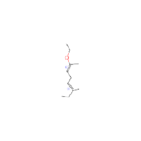 CCO/C(C)=C/C/C=C(\C)CC